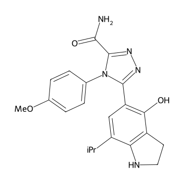 COc1ccc(-n2c(C(N)=O)nnc2-c2cc(C(C)C)c3c(c2O)CCN3)cc1